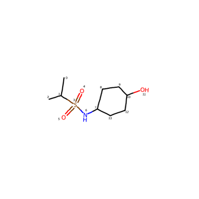 CC(C)S(=O)(=O)NC1CCC(O)CC1